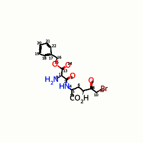 N[C@H](C(=O)N[C@@H](CCC(=O)CBr)C(=O)O)C(=O)OCc1ccccc1